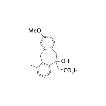 COc1ccc2c(c1)Cc1c(C)cccc1C(O)(CC(=O)O)C2